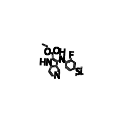 CCOC(=O)c1[nH]c2ccncc2c1Nc1ccc([Si](C)(C)C)cc1F